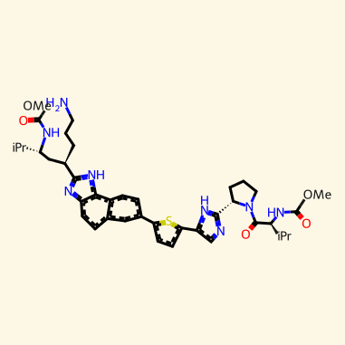 COC(=O)N[C@H](C(=O)N1CCC[C@H]1c1ncc(-c2ccc(-c3ccc4c(ccc5nc([C@H](CCCN)C[C@@H](NC(=O)OC)C(C)C)[nH]c54)c3)s2)[nH]1)C(C)C